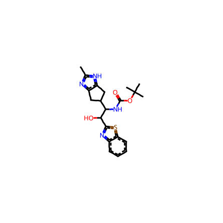 Cc1nc2c([nH]1)CC(C(NC(=O)OC(C)(C)C)C(O)c1nc3ccccc3s1)C2